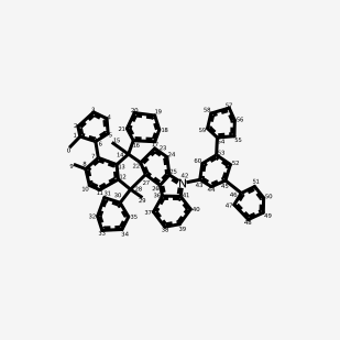 Cc1ccccc1-c1c(C)ccc2c1C(C)(c1ccccc1)c1ccc3c(c1C2(C)c1ccccc1)c1ccccc1n3-c1cc(-c2ccccc2)cc(-c2ccccc2)c1